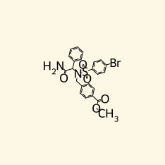 COC(=O)c1ccc(CN(C(C(N)=O)c2ccccc2)S(=O)(=O)c2ccc(Br)cc2)cc1